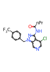 CCCC(=O)Nc1nn(Cc2ccc(C(F)(F)F)cc2)c2cncc(Cl)c12